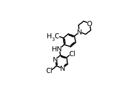 Cc1cc(N2CCOCC2)ccc1Nc1nc(Cl)ncc1Cl